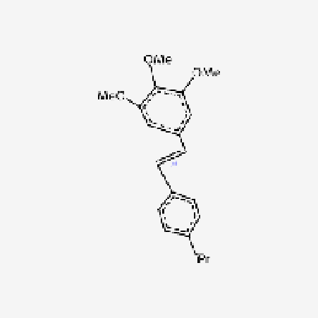 COc1cc(/C=C/c2ccc(C(C)C)cc2)cc(OC)c1OC